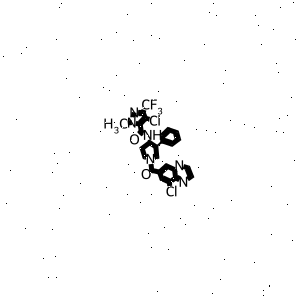 Cn1nc(C(F)(F)F)c(Cl)c1C(=O)N[C@@H]1CCN(C(=O)c2cc(Cl)c3nccnc3c2)C[C@@H]1c1ccccc1